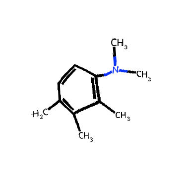 [CH2]c1ccc(N(C)C)c(C)c1C